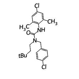 Cc1cc(Cl)cc(C)c1NC(=O)N(CCC(C)(C)C)Cc1ccc(Cl)cc1